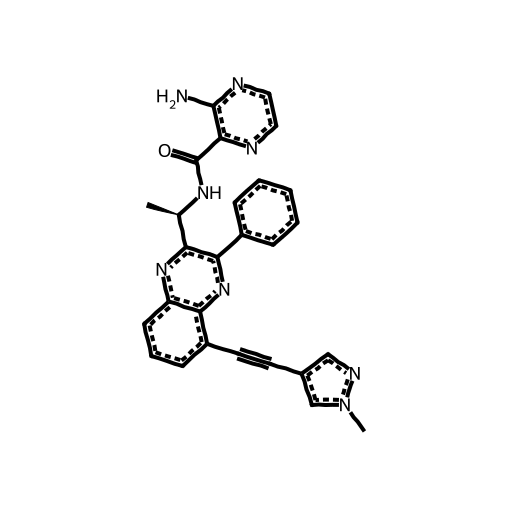 C[C@@H](NC(=O)c1nccnc1N)c1nc2cccc(C#Cc3cnn(C)c3)c2nc1-c1ccccc1